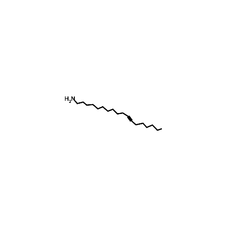 CCCCCCC#CCCCCCCCCCCN